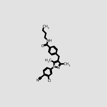 CCCCNC(=O)c1ccc(Cc2c(C)nn(-c3ccc(C#N)c(Cl)c3)c2C)cc1